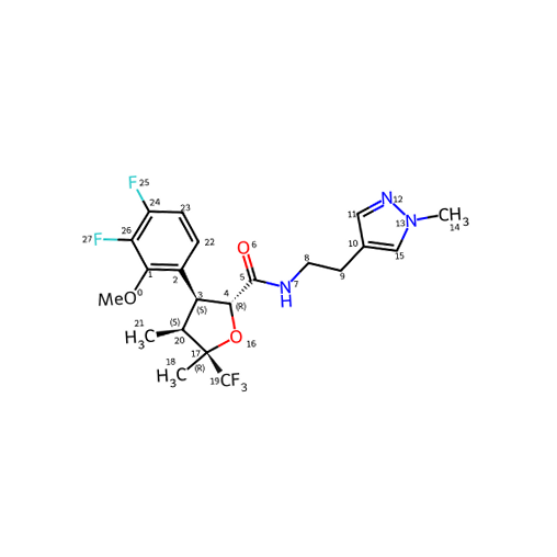 COc1c([C@H]2[C@H](C(=O)NCCc3cnn(C)c3)O[C@@](C)(C(F)(F)F)[C@H]2C)ccc(F)c1F